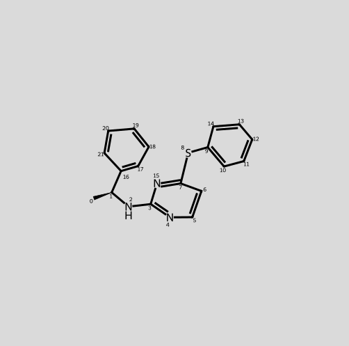 C[C@H](Nc1nccc(Sc2ccccc2)n1)c1ccccc1